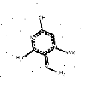 C/N=c1/c(C)nc(C)cn1NC